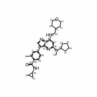 Cc1cc(-c2cnn3c(NCC4CCOCC4)cc(N(C)C4CCCC4)nc23)ccc1C(=O)NC1CC1